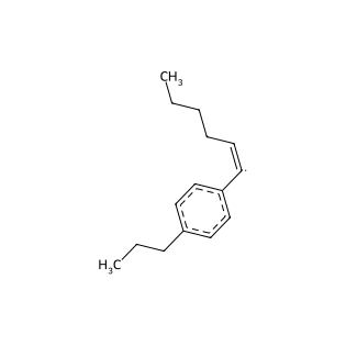 CCCC/C=[C]\c1ccc(CCC)cc1